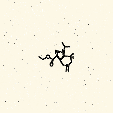 CCOC(=O)c1nn(C(C)C)c2c1CNC[C@@H]2C